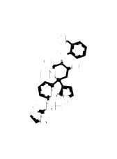 O=C1CC(c2ccsc2)(c2cccc(Nc3nccs3)n2)NC(=O)C1Sc1ccccc1Cl